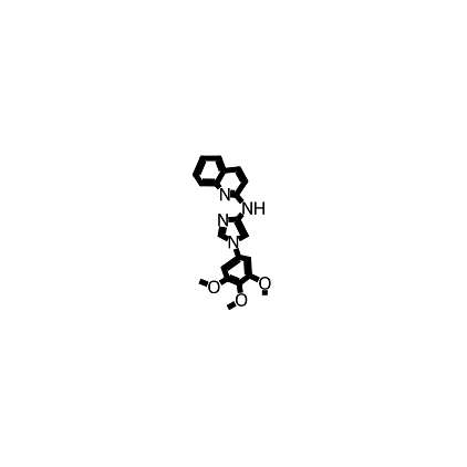 COc1cc(-n2cnc(Nc3ccc4ccccc4n3)c2)cc(OC)c1OC